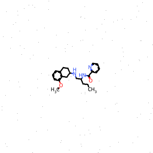 CCCC(CNC1CCc2cccc(OC)c2C1)NC(=O)c1ccccn1